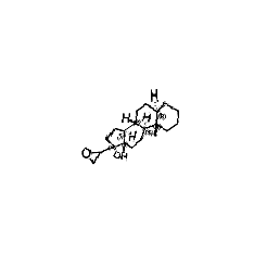 C[C@]12CCCC[C@@H]1CC[C@@H]1[C@@H]2CC[C@@]2(C)[C@H]1CC[C@]2(O)C1CO1